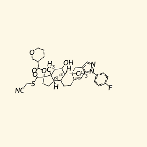 CC12Cc3cnn(-c4ccc(F)cc4)c3C=C1CCC1[C@@H]2C(O)CC2(C)[C@H]1CCC2(OC(=O)C1CCCOC1)C(=O)SCC#N